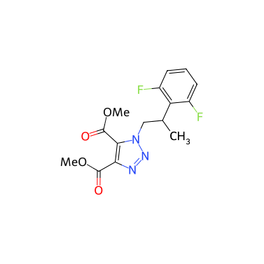 COC(=O)c1nnn(CC(C)c2c(F)cccc2F)c1C(=O)OC